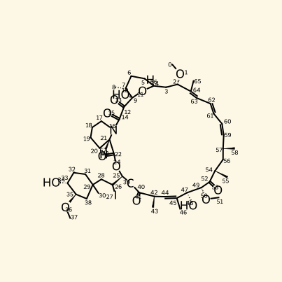 CO[C@H]1C[C@@H]2CC[C@@H](C)[C@@](O)(O2)C(=O)C(=O)N2CCCC[C@H]2C(=O)O[C@H](C(I)CC2(C)CC[C@@H](O)[C@H](OC)C2)CC(=O)[C@H](C)/C=C(\C)[C@@H](O)[C@@H](OC)C(=O)[C@H](C)C[C@H](C)/C=C/C=C/C=C/1C